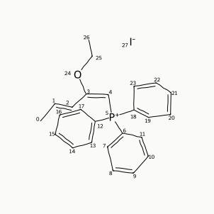 C/C=C/C(=C\[P+](c1ccccc1)(c1ccccc1)c1ccccc1)OCC.[I-]